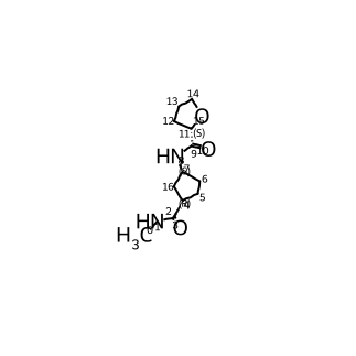 CNC(=O)[C@@H]1CC[C@H](NC(=O)[C@@H]2CCCO2)C1